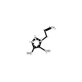 C=CCn1nnc([C]=O)c1[C]=O